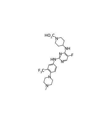 CN1CCN(c2ccc(Nc3ncc(F)c(NC4CCN(C(=O)O)CC4)n3)cc2C(F)(F)F)CC1